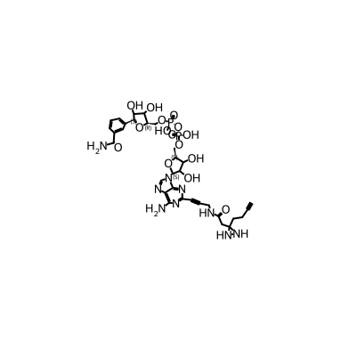 C#CCCC1(CC(=O)NCC#Cc2nc(N)c3ncn([C@H]4O[C@@H](COP(=O)(O)OP(=O)(O)OC[C@H]5O[C@@H](c6cccc(C(N)=O)c6)C(O)C5O)C(O)C4O)c3n2)NN1